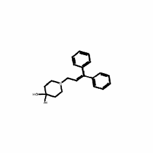 CC(=O)C1(O)CCN(CC=C(c2ccccc2)c2ccccc2)CC1